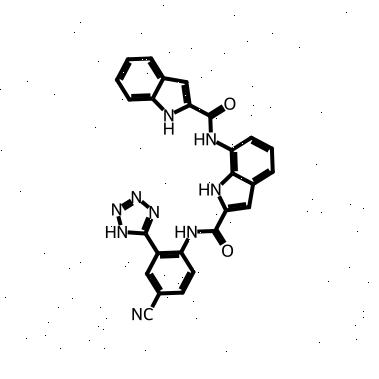 N#Cc1ccc(NC(=O)c2cc3cccc(NC(=O)c4cc5ccccc5[nH]4)c3[nH]2)c(-c2nnn[nH]2)c1